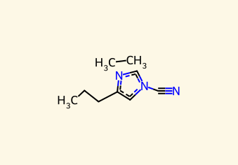 CC.CCCc1cn(C#N)cn1